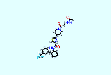 CC(=O)NCCC(=O)N1CCC(c2nc(C(=O)Nc3ccccc3-c3cccc(C(F)(F)F)c3)cs2)CC1